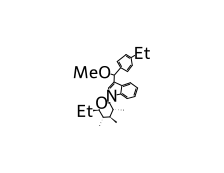 CCc1ccc(C(OC)c2cn([C@@H]3O[C@H](CC)[C@@H](C)[C@H](C)[C@H]3C)c3ccccc23)cc1